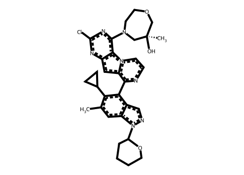 Cc1cc2c(cnn2C2CCCCO2)c(-c2nccn3c2cc2nc(Cl)nc(N4CCOC[C@@](C)(O)C4)c23)c1C1CC1